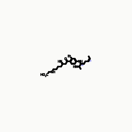 C/C=C\C/C=C(\Nc1ccc(C(=O)CC(=N)CCCCNCC(=O)O)c(CC)c1)C(C)=N